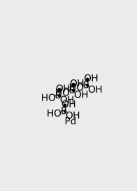 OB(O)O.OB(O)O.OB(O)O.OB(O)O.[Pd]